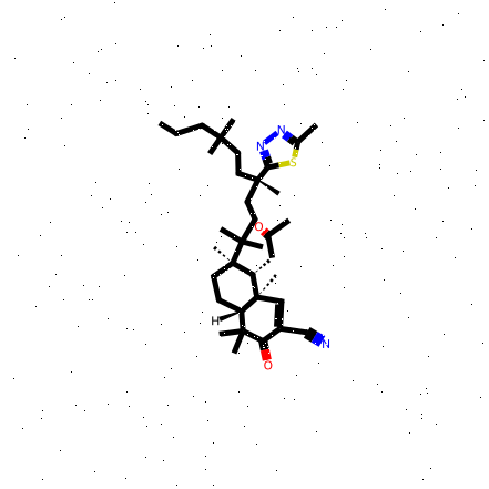 CCCC(C)(C)CC[C@@](C)(CCC(C)(C)[C@]1(C)CC[C@H]2C(C)(C)C(=O)C(C#N)=C[C@]2(C)[C@H]1CC(C)=O)c1nnc(C)s1